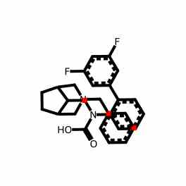 O=C(O)N(CC1C2CCC1CN(Cc1ccccc1)C2)c1ccccc1-c1cc(F)cc(F)c1